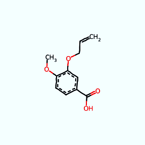 C=CCOc1cc(C(=O)O)ccc1OC